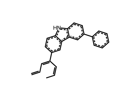 C=C/C=C(\C=C/C)c1ccc2[nH]c3ccc(-c4ccccc4)cc3c2c1